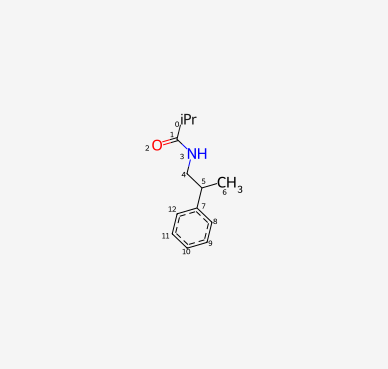 CC(C)C(=O)NCC(C)c1ccccc1